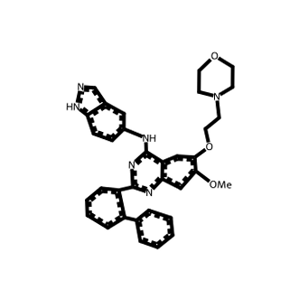 COc1cc2nc(-c3ccccc3-c3ccccc3)nc(Nc3ccc4[nH]ncc4c3)c2cc1OCCN1CCOCC1